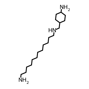 NCCCCCCCCCCCCNCC1CCC(N)CC1